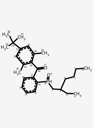 CCCCC(CC)C[PH](=O)c1ccccc1C(=O)c1c(C)cc(C(C)(C)C)cc1C